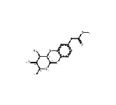 COC(=O)Cc1ccc2c(c1)SC1C(O2)OC(C)C(O)C1O